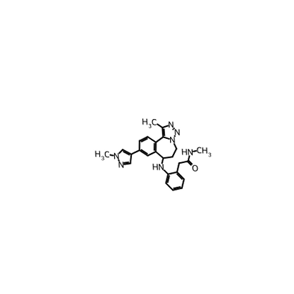 CNC(=O)Cc1ccccc1NC1CCn2nnc(C)c2-c2ccc(-c3cnn(C)c3)cc21